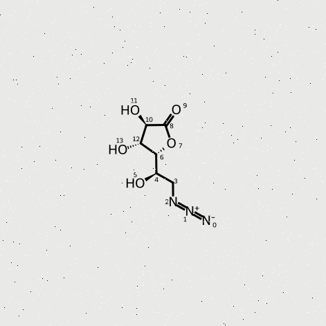 [N-]=[N+]=NC[C@@H](O)[C@H]1OC(=O)[C@H](O)[C@H]1O